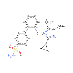 CCOC(=O)c1c(SC)nc(C2CC2)n1Cc1ccccc1-c1ccc(S(N)(=O)=O)cc1